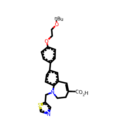 CCCCOCCOc1ccc(-c2ccc3c(c2)C=C(C(=O)O)CCN3Cc2cncs2)cc1